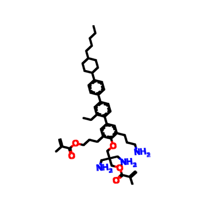 C=C(C)C(=O)OCCCc1cc(-c2ccc(-c3ccc(C4CCC(CCCCC)CC4)cc3)cc2CC)cc(CCCN)c1OCC(CN)(CN)COC(=O)C(=C)C